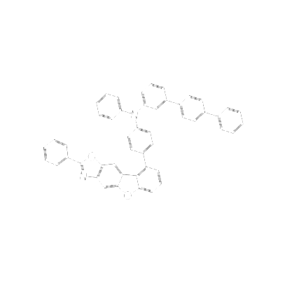 c1ccc(-c2ccc(-c3cccc(N(c4ccccc4)c4ccc(-c5cccc6oc7cc8nc(-c9ccccc9)oc8cc7c56)cc4)c3)cc2)cc1